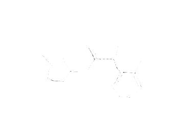 CC(C)c1ccccc1C(O)C(=O)OC1CCN(C)C1